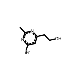 Cc1nc(CCO)cc(C(C)C)n1